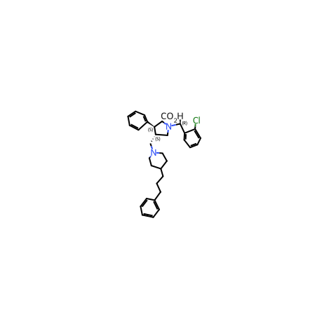 O=C(O)[C@@H](c1ccccc1Cl)N1C[C@H](CN2CCC(CCCc3ccccc3)CC2)[C@@H](c2ccccc2)C1